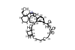 C=CC1=C(/C=C\C)[C@]2(CCC1)COc1ccc3cc1N(C[C@@H]1CC[C@H]1CCCCCCS(=O)(=O)NC3=O)C2